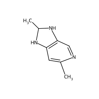 Cc1cc2c(cn1)NC(C)N2